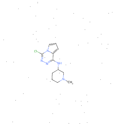 CN1CCCC(Nc2nnc(Cl)n3cccc23)C1